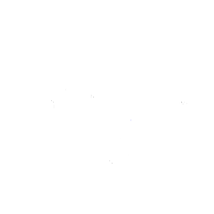 COc1ccc2c(c1)/C(=C/CCN1CCC3(CC1)NC(=O)c1ccccc13)c1cccnc1CO2